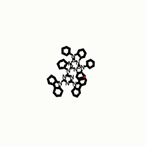 c1ccc(N2B3N(B4N(B5N3c3ccccc3N5c3ccccc3)c3ccccc3N4c3nc(-n4c5ccccc5c5ccccc54)nc(-n4c5ccccc5c5ccccc54)n3)c3ccccc32)cc1